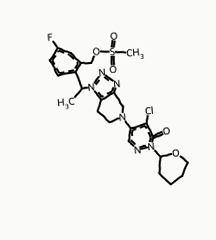 CC(c1ccc(F)cc1COS(C)(=O)=O)n1nnc2c1CCN(c1cnn(C3CCCCO3)c(=O)c1Cl)C2